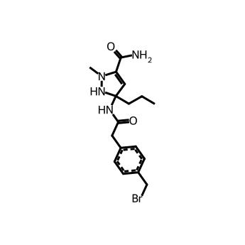 CCCC1(NC(=O)Cc2ccc(CBr)cc2)C=C(C(N)=O)N(C)N1